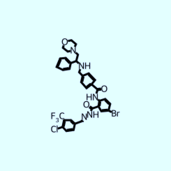 O=C(Nc1ccc(Br)cc1C(=O)NN=Cc1ccc(Cl)c(C(F)(F)F)c1)c1ccc(CNC(CN2CCOCC2)c2ccccc2)cc1